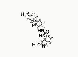 Cc1cc2c(NC(=O)NCc3ccc(N4CCC(C)CC4)c(F)c3)cccc2cn1